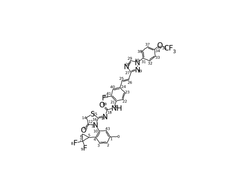 Cc1ccc(C2CC2(F)F)c(N2C(=O)CS/C2=N\C(=O)Nc2ccc(/C=C/c3ncn(-c4ccc(OC(F)(F)F)cc4)n3)cc2F)c1